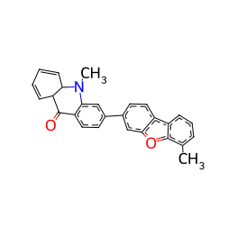 Cc1cccc2c1oc1cc(-c3ccc4c(c3)N(C)C3C=CC=CC3C4=O)ccc12